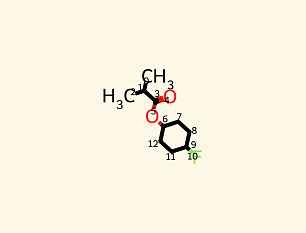 CC(C)C(=O)OC1CCC(F)CC1